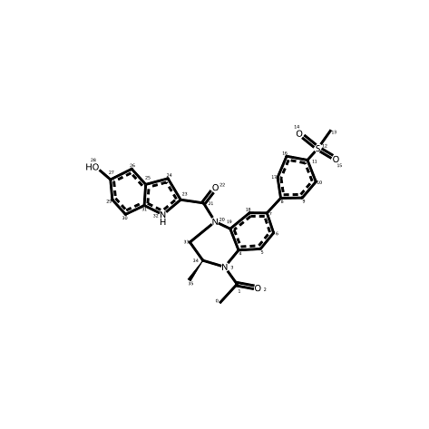 CC(=O)N1c2ccc(-c3ccc(S(C)(=O)=O)cc3)cc2N(C(=O)c2cc3cc(O)ccc3[nH]2)C[C@@H]1C